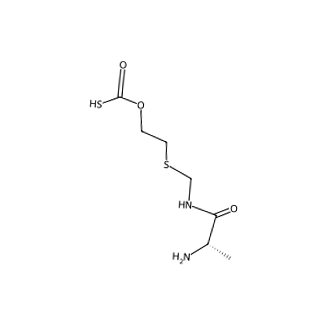 C[C@H](N)C(=O)NCSCCOC(=O)S